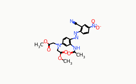 COC(=O)CN(CC(=O)OC)c1ccc(N=Nc2ccc([N+](=O)[O-])cc2C#N)c(NC(C)=O)c1